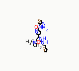 CN(C)CCC(NC(=O)NCCc1cccs1)c1ccc(C(=O)Nc2cscc2N)nc1